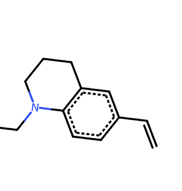 C=Cc1ccc2c(c1)CCCN2CC